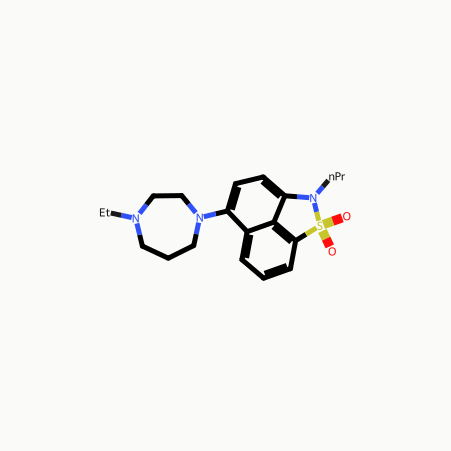 CCCN1c2ccc(N3CCCN(CC)CC3)c3cccc(c23)S1(=O)=O